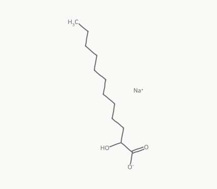 CCCCCCCCCCC(O)C(=O)[O-].[Na+]